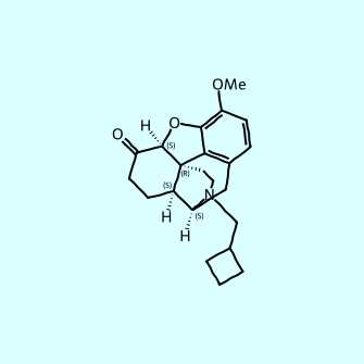 COc1ccc2c3c1O[C@@H]1C(=O)CC[C@@H]4[C@H](C2)N(CC2CCC2)CC[C@@]314